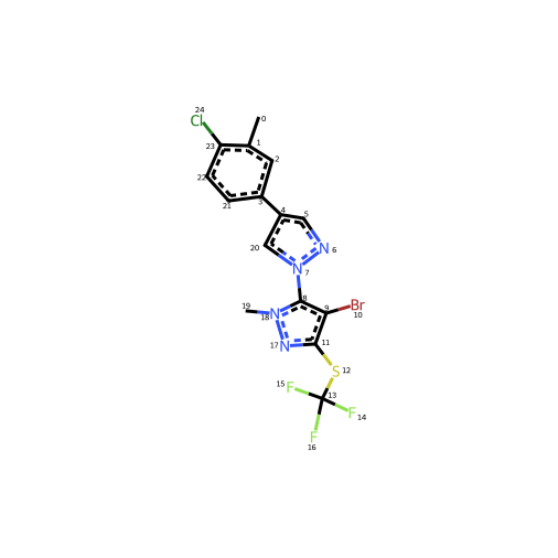 Cc1cc(-c2cnn(-c3c(Br)c(SC(F)(F)F)nn3C)c2)ccc1Cl